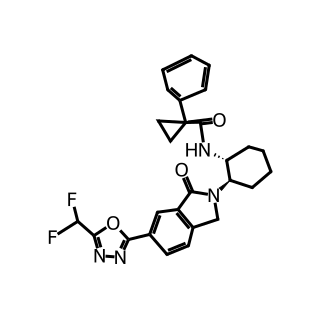 O=C1c2cc(-c3nnc(C(F)F)o3)ccc2CN1[C@@H]1CCCC[C@H]1NC(=O)C1(c2ccccc2)CC1